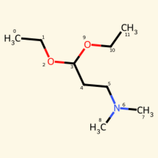 CCOC(CCN(C)C)OCC